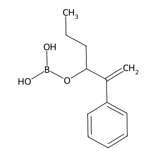 C=C(c1ccccc1)C(CCC)OB(O)O